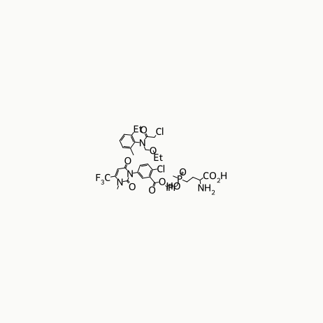 CC(C)OC(=O)c1cc(-n2c(=O)cc(C(F)(F)F)n(C)c2=O)ccc1Cl.CCOCN(C(=O)CCl)c1c(C)cccc1CC.CP(=O)(O)CCC(N)C(=O)O